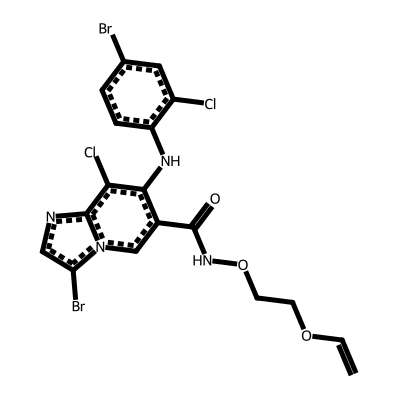 C=COCCONC(=O)c1cn2c(Br)cnc2c(Cl)c1Nc1ccc(Br)cc1Cl